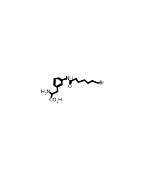 NC(Cc1cccc(NC(=O)CCCCCCBr)c1)C(=O)O